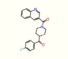 O=C(c1ccc(F)cc1)C1CCN(C(=O)c2cnc3ccccc3c2)CC1